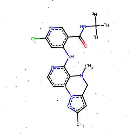 [2H]C([2H])([2H])NC(=O)c1cnc(Cl)cc1Nc1nccc2c1N(C)Cc1cc(C)nn1-2